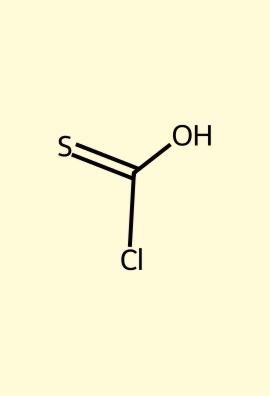 OC(=S)Cl